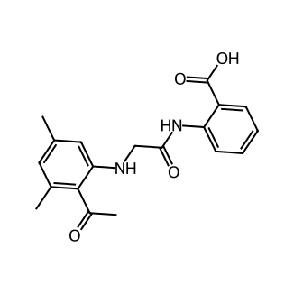 CC(=O)c1c(C)cc(C)cc1NCC(=O)Nc1ccccc1C(=O)O